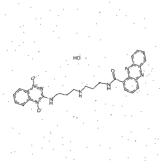 Cl.O=C(NCCCNCCCNc1n[n+]([O-])c2ccccc2[n+]1[O-])c1cccc2nc3ccccc3nc12